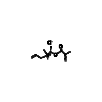 C=CC[N+](C)(C)C(C)OC(=O)C(=C)C.[Cl-]